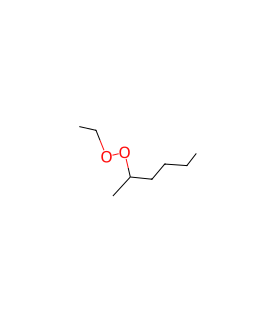 CCCCC(C)OOCC